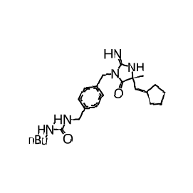 CCCCNC(=O)NCc1ccc(CN2C(=N)N[C@](C)(CC3CCCC3)C2=O)cc1